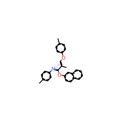 CC(=C\Oc1ccc(C)cc1)/C(=N/c1ccc(C)cc1)Oc1ccc2ccccc2c1